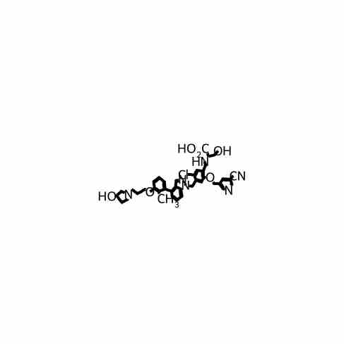 Cc1c(OCCCN2CC[C@@H](O)C2)cccc1-c1cccc2c1cnn2Cc1cc(OCc2cncc(C#N)c2)c(CNC(CO)C(=O)O)cc1Cl